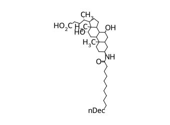 CCCCCCCCCCCCCCCCCCCC(=O)N[C@H]1CCC2(C)C(C1)C[C@H](O)C1C2C[C@H](O)C2(C)C1CCC2[C@@H](C)CCC(=O)O